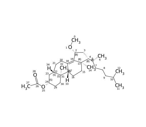 CO[C@@H]1C[C@H]([C@H](C)CCCC(C)C)[C@@]2(C)CC[C@H]3C(=C12)CC[C@H]1C[C@@H](OC(C)=O)CC[C@@]13C